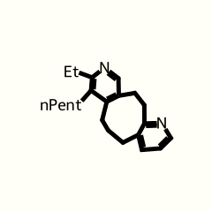 CCCCCc1c(CC)ncc2c1CCCc1cccnc1CC2